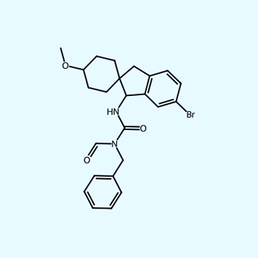 COC1CCC2(CC1)Cc1ccc(Br)cc1C2NC(=O)N(C=O)Cc1ccccc1